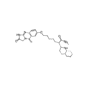 NC(=O)C(CCCCCOc1ccc2nc3n(c(=O)c2c1)CC(=O)N3)C1CCC2CCCCC2N1